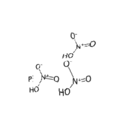 O=[N+]([O-])O.O=[N+]([O-])O.O=[N+]([O-])O.[P]